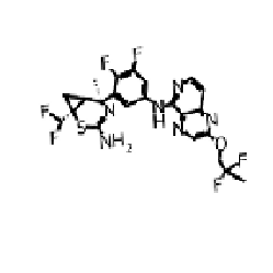 CC(F)(F)COc1cnc2c(Nc3cc(F)c(F)c([C@@]4(C)N=C(N)S[C@@]5(C(F)F)CC54)c3)nccc2n1